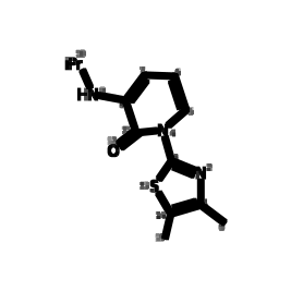 Cc1nc(-n2cccc(NC(C)C)c2=O)sc1C